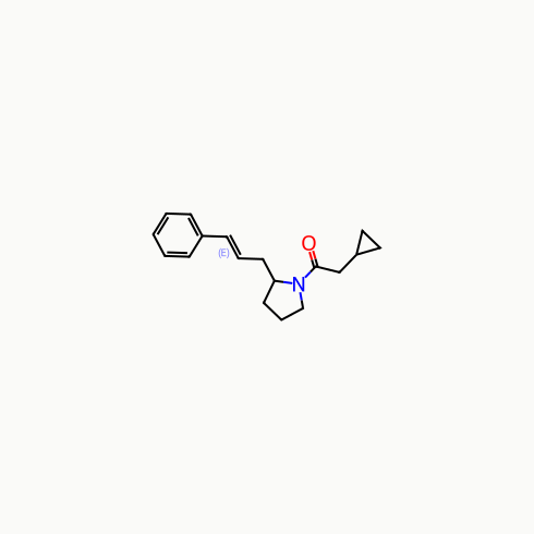 O=C(CC1CC1)N1CCCC1C/C=C/c1ccccc1